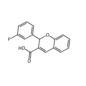 O=C(O)C1=Cc2ccccc2OC1c1cccc(F)c1